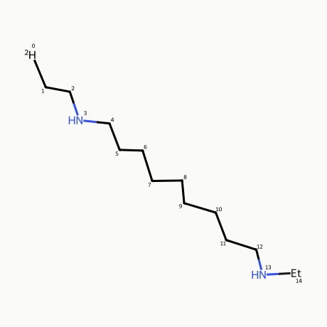 [2H]CCNCCCCCCCCCNCC